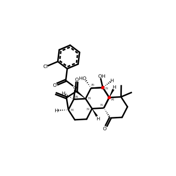 C=C1C(=O)[C@]23[C@H](OC(=O)c4ccccc4Cl)[C@H]1CC[C@H]2[C@@]12CO[C@@]3(O)[C@@H](O)[C@@H]1C(C)(C)CCC2=O